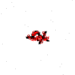 C=CC(=O)OCC(O)C(CC(C)(C)OCCC(C)(C)OC(C)(C)CCOC(C)(C)CC(C(O)COC(=O)C=C)(C(O)COC(=O)C=C)C(O)COC(=O)C=C)(C(O)COC(=O)C=C)C(O)COC(=O)C=C